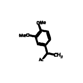 COc1ccc(C(C)C(C)=O)cc1OC